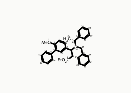 CCOC(=O)CC(c1ccc(OC)c(-c2ccccc2)c1)N(Cc1ccccc1)[C@H](C)c1ccccc1